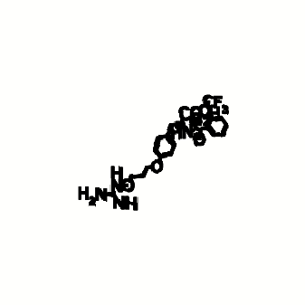 N=C(N)NOCCCOc1ccc(C[C@H](NS(=O)(=O)c2ccccc2OC(F)(F)F)C(=O)O)cc1